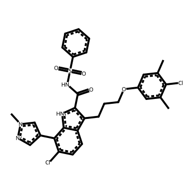 Cc1cc(OCCCc2c(C(=O)NS(=O)(=O)c3ccccc3)[nH]c3c(-c4cnn(C)c4)c(Cl)ccc23)cc(C)c1Cl